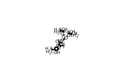 CC(C)c1cc(Oc2c(Cl)c(F)nc(NCC(OCOC(=O)C(C)(C)C)OCOC(=O)C(C)(C)C)c2Cl)ccc1O